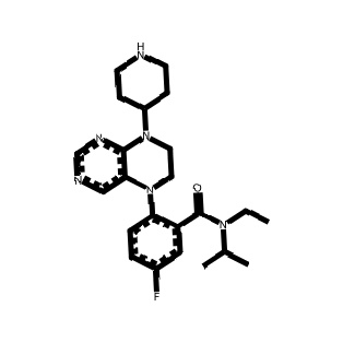 CCN(C(=O)c1cc(F)ccc1N1CCN(C2CCNCC2)c2ncncc21)C(C)C